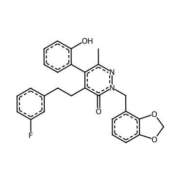 Cc1nn(Cc2cccc3c2OCO3)c(=O)c(CCc2cccc(F)c2)c1-c1ccccc1O